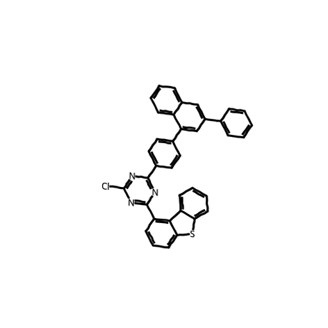 Clc1nc(-c2ccc(-c3cc(-c4ccccc4)cc4ccccc34)cc2)nc(-c2cccc3sc4ccccc4c23)n1